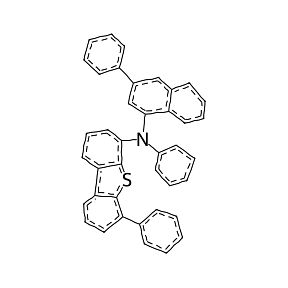 c1ccc(-c2cc(N(c3ccccc3)c3cccc4c3sc3c(-c5ccccc5)cccc34)c3ccccc3c2)cc1